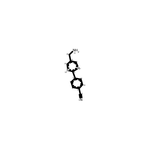 N#Cc1ccc(-c2ncc(CN)cn2)cc1